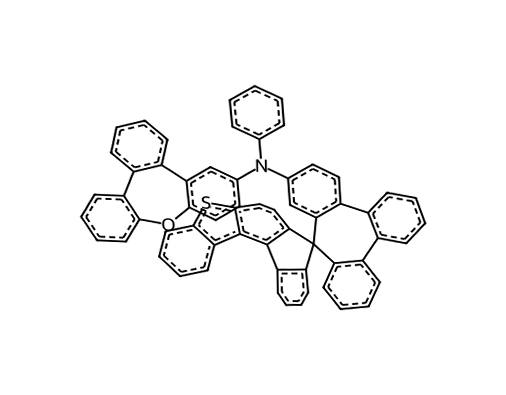 c1ccc(N(c2ccc3c(c2)-c2ccccc2-c2ccccc2O3)c2ccc3c(c2)C2(c4ccccc4-c4ccccc4-3)c3ccccc3-c3c2ccc2sc4ccccc4c32)cc1